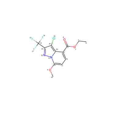 CCOC(=O)c1ccc(OC)n2nc(C(F)(F)F)c(Cl)c12